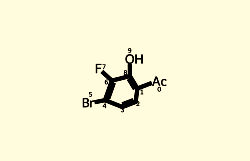 CC(=O)c1ccc(Br)c(F)c1O